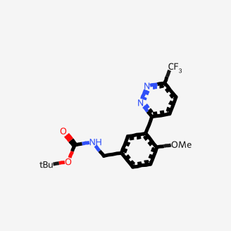 COc1ccc(CNC(=O)OC(C)(C)C)cc1-c1ccc(C(F)(F)F)nn1